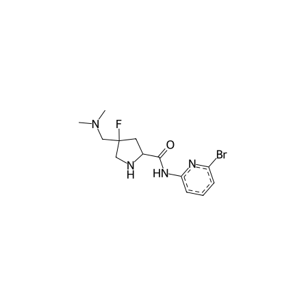 CN(C)CC1(F)CNC(C(=O)Nc2cccc(Br)n2)C1